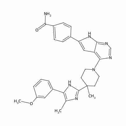 COc1cccc(-c2[nH]c(C3(C)CCN(c4ncnc5[nH]c(-c6ccc(C(N)=O)cc6)cc45)CC3)nc2C)c1